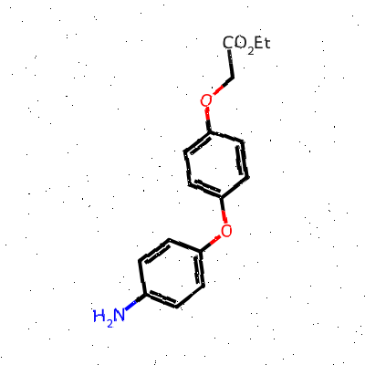 CCOC(=O)COc1ccc(Oc2ccc(N)cc2)cc1